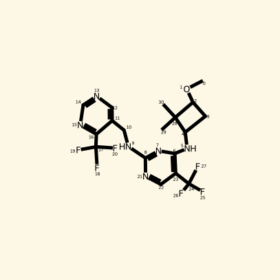 COC1CC(Nc2nc(NCc3cncnc3C(F)(F)F)ncc2C(F)(F)F)C1(C)C